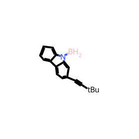 Bn1c2ccccc2c2ccc(C#CC(C)(C)C)cc21